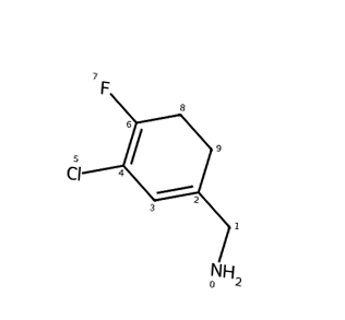 NCC1=CC(Cl)=C(F)CC1